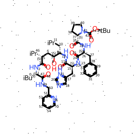 CC[C@H](C)[C@H](NC(=O)[C@@H](C[C@H](O)[C@H](CC(C)C)NC(=O)[C@H](Cc1cnc[nH]1)N(C)C(=O)[C@H](Cc1ccccc1)NC(=O)[C@@H]1CCCN1C(=O)OC(C)(C)C)C(C)C)C(=O)NCc1ccccn1